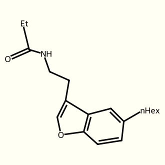 CCCCCCc1ccc2occ(CCNC(=O)CC)c2c1